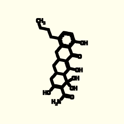 CCCCc1ccc(O)c2c1CC1CC3CC(O)=C(C(N)=O)C(O)(O)C3C(O)=C1C2=O